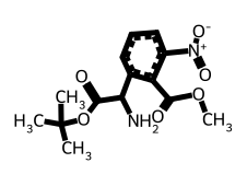 COC(=O)c1c(C(N)C(=O)OC(C)(C)C)cccc1[N+](=O)[O-]